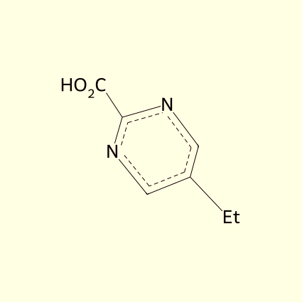 CCc1cnc(C(=O)O)nc1